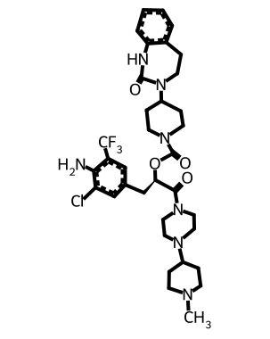 CN1CCC(N2CCN(C(=O)[C@@H](Cc3cc(Cl)c(N)c(C(F)(F)F)c3)OC(=O)N3CCC(N4CCc5ccccc5NC4=O)CC3)CC2)CC1